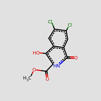 COC(=O)c1[nH]c(=O)c2cc(Cl)c(Cl)cc2c1O